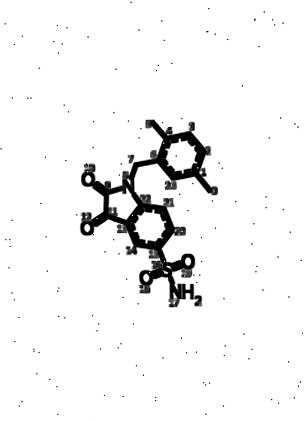 Cc1ccc(C)c(CN2C(=O)C(=O)c3cc(S(N)(=O)=O)ccc32)c1